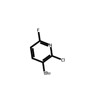 CC(C)(C)c1ccc(F)nc1Cl